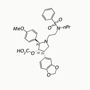 CCCN(CCN1C[C@H](c2ccc3c(c2)OCO3)[C@H](OC(=O)O)[C@H]1c1ccc(OC)cc1)S(=O)(=O)c1ccccc1